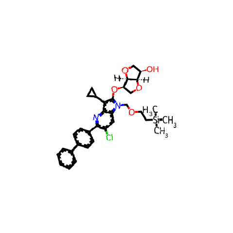 C[Si](C)(C)CCOCn1c(O[C@@H]2CO[C@H]3[C@@H]2OC[C@H]3O)c(C2CC2)c2nc(-c3ccc(-c4ccccc4)cc3)c(Cl)cc21